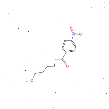 COCCCCCC(=O)c1ccc([N+](=O)[O-])cc1